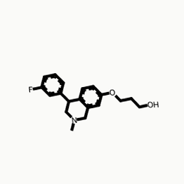 CN1Cc2cc(OCCCO)ccc2C(c2cccc(F)c2)C1